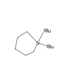 CC(C)(C)[Si]1(C(C)(C)C)CCCCC1